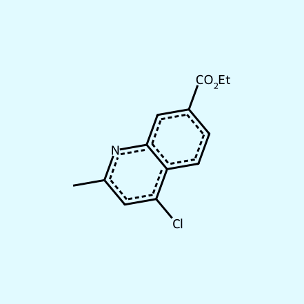 CCOC(=O)c1ccc2c(Cl)cc(C)nc2c1